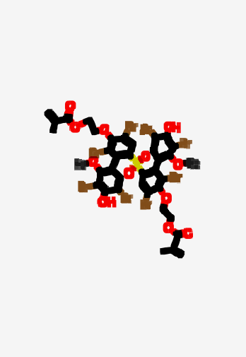 C=C(C)C(=O)OCCOc1c(Br)cc(S(=O)(=O)c2cc(Br)c(OCCOC(=O)C(=C)C)c(Br)c2-c2cc(Br)c(O)c(Br)c2OCC)c(-c2cc(Br)c(O)c(Br)c2OCC)c1Br